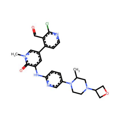 CC1CN(C2COC2)CCN1c1ccc(Nc2cc(-c3ccnc(Cl)c3C=O)cn(C)c2=O)nc1